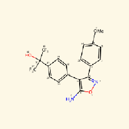 COc1ccc(-c2noc(N)c2-c2ccc(C(O)(C(F)(F)F)C(F)(F)F)cc2)cc1